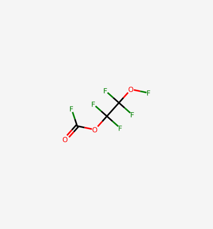 O=C(F)OC(F)(F)C(F)(F)OF